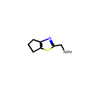 CNCc1nc2c(s1)CCC2